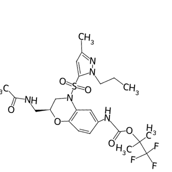 CCCn1nc(C)cc1S(=O)(=O)N1C[C@H](CNC(C)=O)Oc2ccc(NC(=O)OC(C)(C)C(F)(F)F)cc21